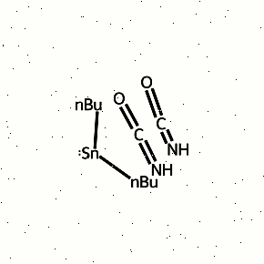 CCC[CH2][Sn][CH2]CCC.N=C=O.N=C=O